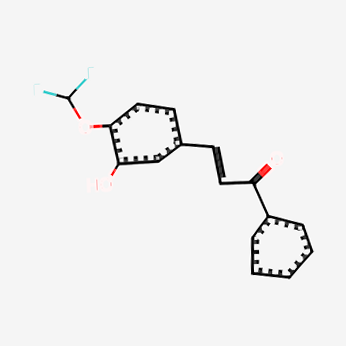 O=C(/C=C/c1ccc(OC(F)F)c(O)c1)c1ccccc1